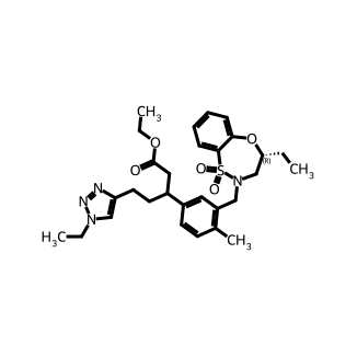 CCOC(=O)CC(CCc1cn(CC)nn1)c1ccc(C)c(CN2C[C@@H](CC)Oc3ccccc3S2(=O)=O)c1